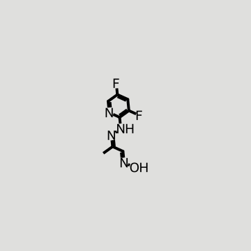 CC(/C=N/O)=N/Nc1ncc(F)cc1F